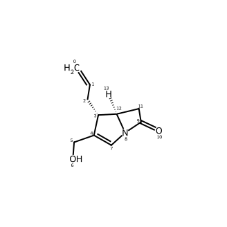 C=CC[C@H]1C(CO)=CN2C(=O)C[C@H]12